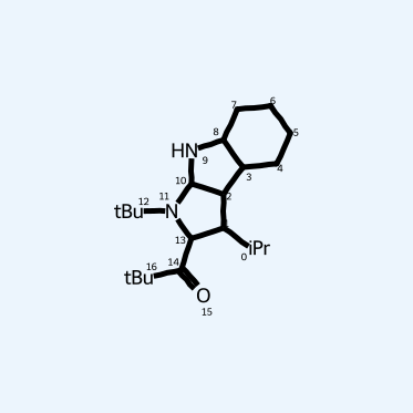 CC(C)C1C2C3CCCCC3NC2N(C(C)(C)C)C1C(=O)C(C)(C)C